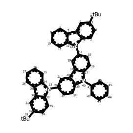 CC(C)(C)c1ccc2c(c1)c1ccccc1n2-c1ccc2c(c1)c1cc(-n3c4ccccc4c4cc(C(C)(C)C)ccc43)ccc1n2-c1ccccc1